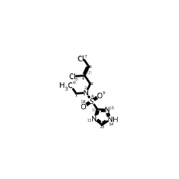 CCN(C/C(Cl)=C/Cl)S(=O)(=O)c1nc[nH]n1